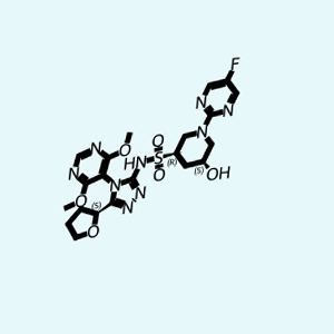 COc1ncnc(OC)c1-n1c(NS(=O)(=O)[C@@H]2C[C@H](O)CN(c3ncc(F)cn3)C2)nnc1[C@@H]1CCCO1